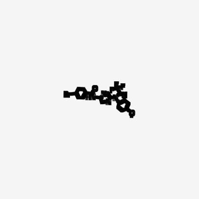 COc1ccc2c(c1)nc(C(F)(F)F)n2-c1cnc(NC(=O)c2ccc(Br)cc2)cn1